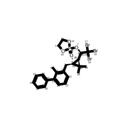 Cc1c(C[C@H]2[C@@H]([C@@H](OP3(=O)OCCO3)C(Br)(Br)Br)C2(C)C)cccc1-c1ccccc1